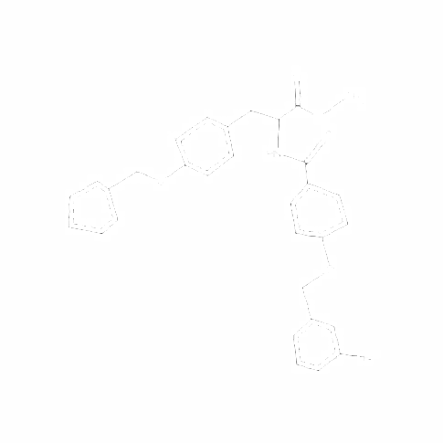 COC(=O)C(Cc1ccc(OCc2ccccc2)cc1)NC(=O)c1ccc(OCc2cccc(Br)c2)cc1